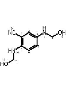 N#Cc1cc(NCO)ccc1NCO